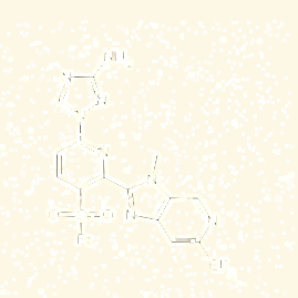 CCS(=O)(=O)c1ccc(-n2cnc(N)n2)nc1-c1nc2cc(C(F)(F)F)ncc2n1C